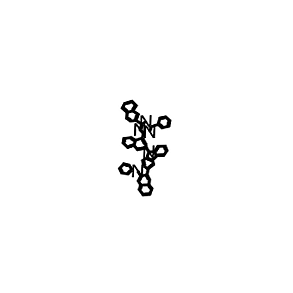 c1ccc(-c2nc(-c3ccc4ccccc4c3)nc(-c3cc(-n4c5ccccc5c5cc6c7cc8ccccc8cc7n(-c7ccccc7)c6cc54)cc4ccccc34)n2)cc1